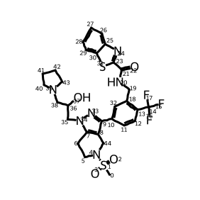 CS(=O)(=O)N1CCc2c(c(-c3ccc(C(F)(F)F)c(CNC(=O)c4nc5ccccc5s4)c3)nn2CC(O)CN2CCCC2)C1